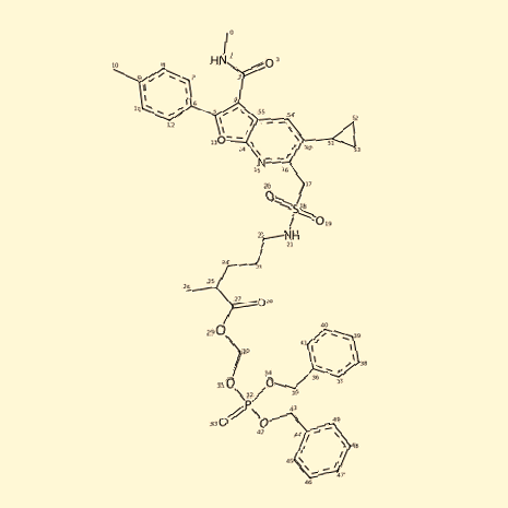 CNC(=O)c1c(-c2ccc(C)cc2)oc2nc(CS(=O)(=O)NCCCC(C)C(=O)OCOP(=O)(OCc3ccccc3)OCc3ccccc3)c(C3CC3)cc12